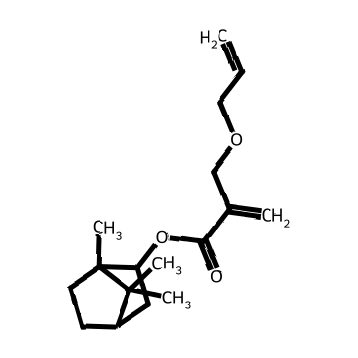 C=CCOCC(=C)C(=O)OC1CC2CCC1(C)C2(C)C